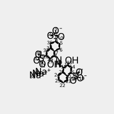 O=S(=O)([O-])c1ccc2c(N=Nc3c(O)cc(S(=O)(=O)[O-])c4ccccc34)c(O)c(S(=O)(=O)[O-])cc2c1.[Na+].[Na+].[Na+]